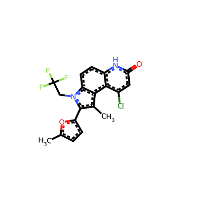 Cc1ccc(-c2c(C)c3c4c(Cl)cc(=O)[nH]c4ccc3n2CC(F)(F)F)o1